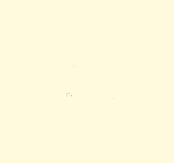 Cc1c(OB(O)c2ccccc2)[nH]c2ccccc12